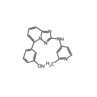 Cc1cc(Nc2nc3cccc(-c4cccc(O)c4)n3n2)ccn1